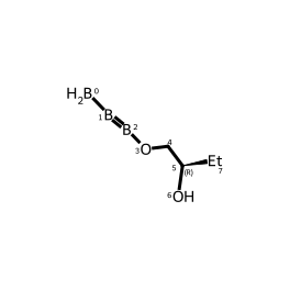 BB=BOC[C@H](O)CC